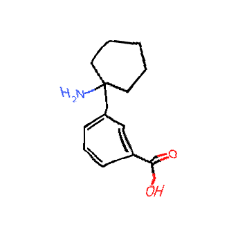 NC1(c2cccc(C(=O)O)c2)CCCCC1